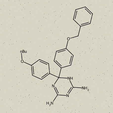 CCCCOc1ccc(C2(c3ccc(OCc4ccccc4)cc3)N=C(N)N=C(N)N2)cc1